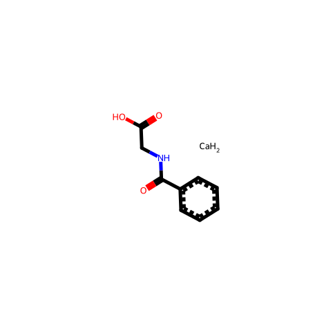 O=C(O)CNC(=O)c1ccccc1.[CaH2]